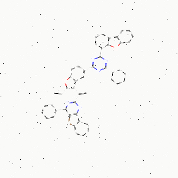 C=Cc1oc2ccc(-c3nc(-c4ccccc4)nc(-c4cccc5c4oc4ccccc45)n3)cc2c1C(=C)c1nc(-c2ccccc2)c2sc3ccccc3c2n1